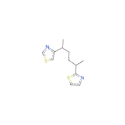 CC(CCC(C)c1nccs1)c1cscn1